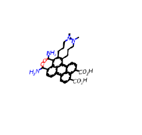 CN(C)CCCc1c(C(N)=O)c2c(C(N)=O)ccc3c4ccc(C(=O)O)c5c(C(=O)O)ccc(c(c1CCCN(C)C)c23)c54